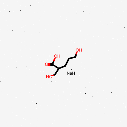 O=C(O)C(CO)CCCO.[NaH]